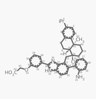 CC(C)c1ccc2c(c1)CC[C@H]1[C@@](C)(Cc3c(-c4ccccc4N)ccc4[nH]c(-c5cccc(OCC(=O)O)c5)nc34)CCC[C@]21C